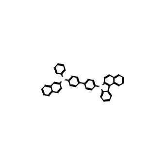 c1ccc(N(c2ccc(-c3ccc(-n4c5ccccc5c5c6ccccc6ccc54)cc3)cc2)c2ccc3ccccc3c2)cc1